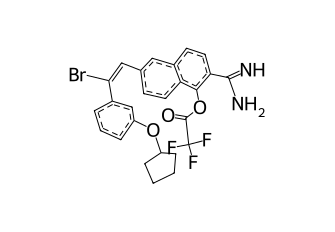 N=C(N)c1ccc2cc(/C=C(/Br)c3cccc(OC4CCCC4)c3)ccc2c1OC(=O)C(F)(F)F